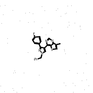 Cc1csc2c(-c3cn(CC(C)C)nc3-c3ccc(F)cc3)ncnc12